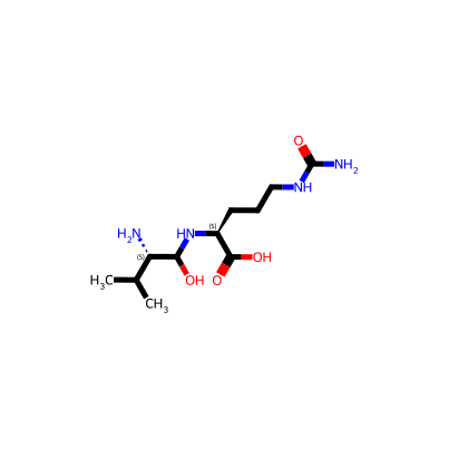 CC(C)[C@H](N)C(O)N[C@@H](CCCNC(N)=O)C(=O)O